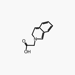 O=C(O)CN1C=c2ccccc2=CC1